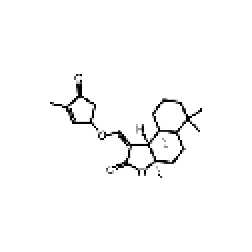 CC1=CC(O/C=C2\C(=O)O[C@]3(C)CCC4C(C)(C)CCC[C@]4(C)[C@@H]23)CC1=O